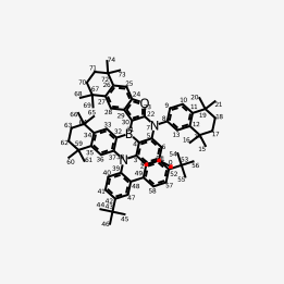 Cc1cc2c3c(c1)N(c1ccc4c(c1)C(C)(C)CCC4(C)C)c1oc4cc5c(cc4c1B3c1cc3c(cc1N2c1ccc(C(C)(C)C)cc1-c1ccc(C(C)(C)C)cc1)C(C)(C)CCC3(C)C)C(C)(C)CCC5(C)C